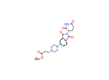 CC(C)(C)OC(=O)CCN1CCN(c2ccc3c(c2)C(=O)N(C2CCC(=O)NC2=O)C3=O)CC1